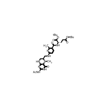 CC(=O)Nc1nc2c(c(=O)[nH]1)N(C)C(CNc1ccc(C(=O)N[C@@H](CCC(=O)OC(C)(C)C)C(=O)OC(C)(C)C)c(C)n1)CN2